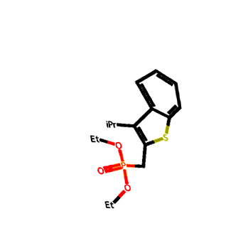 CCOP(=O)(Cc1sc2ccccc2c1C(C)C)OCC